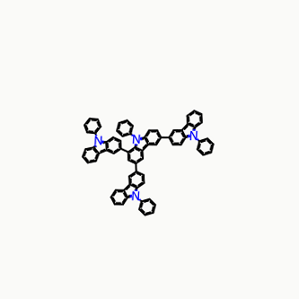 c1ccc(-n2c3ccccc3c3cc(-c4ccc5c(c4)c4cc(-c6ccc7c(c6)c6ccccc6n7-c6ccccc6)cc(-c6ccc7c(c6)c6ccccc6n7-c6ccccc6)c4n5-c4ccccc4)ccc32)cc1